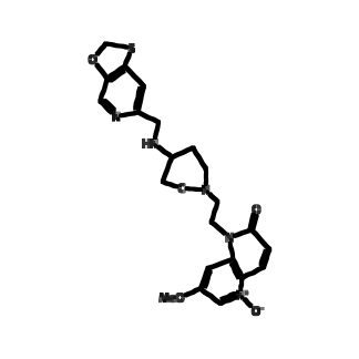 COc1cc2c(ccc(=O)n2CCN2CCC(NCc3cc4c(cn3)OCS4)CC2)[n+]([O-])c1